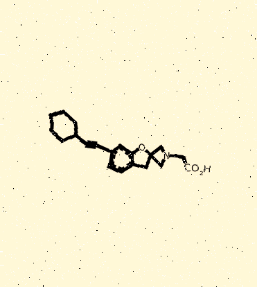 O=C(O)CN1CC2(Cc3ccc(C#CC4CCCCC4)cc3O2)C1